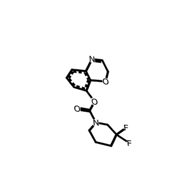 O=C(Oc1cccc2c1OCC=N2)N1CCCC(F)(F)C1